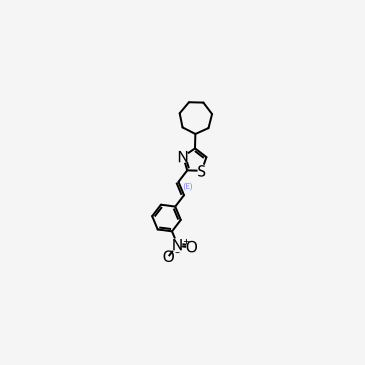 O=[N+]([O-])c1cccc(/C=C/c2nc(C3CCCCCC3)cs2)c1